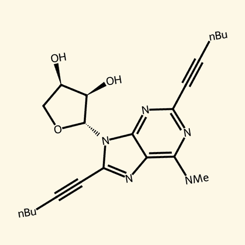 CCCCC#Cc1nc(NC)c2nc(C#CCCCC)n([C@@H]3OC[C@@H](O)[C@H]3O)c2n1